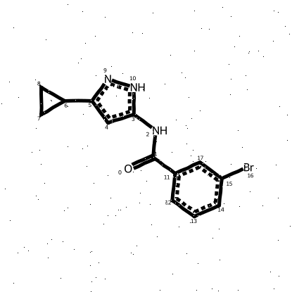 O=C(Nc1cc(C2CC2)n[nH]1)c1cccc(Br)c1